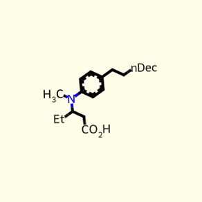 CCCCCCCCCCCCc1ccc(N(C)C(CC)CC(=O)O)cc1